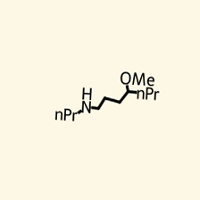 CCCNCCCC(CCC)OC